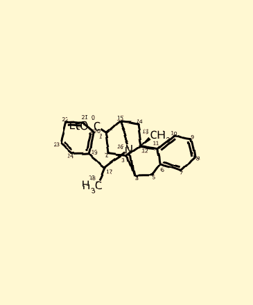 CCOC(=O)C1CC2C3Cc4ccccc4[C@@]2(C)CC1N3C(C)c1ccccc1